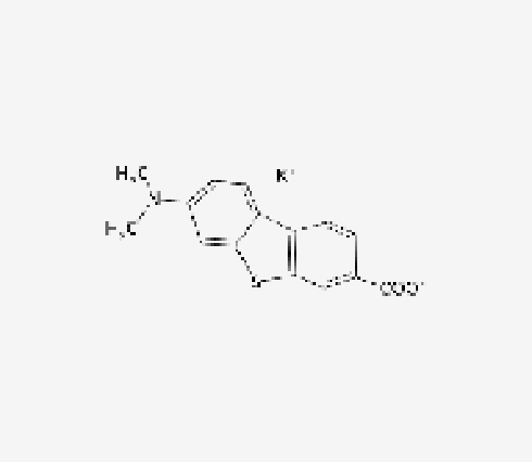 CN(C)c1ccc2c(c1)sc1cc(C(=O)[O-])ccc12.[K+]